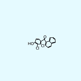 O=C(c1ccc(O)c(Cl)c1Cl)c1cccc2ccccc12